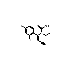 CCN(C(=O)O)C(=CC#N)c1ccc(F)cc1Cl